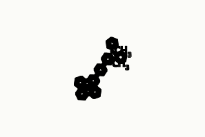 CC12CCCCC1(C)N(c1ccccc1)c1ccc(-c3ccc(-c4ccc5c(c4)-c4ccccc4C54c5ccccc5-c5ccccc54)cc3)cc12